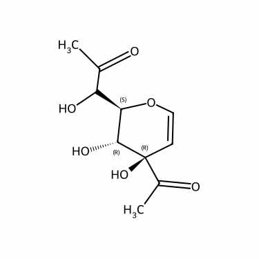 CC(=O)C(O)[C@H]1OC=C[C@](O)(C(C)=O)[C@@H]1O